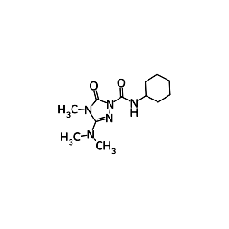 CN(C)c1nn(C(=O)NC2CCCCC2)c(=O)n1C